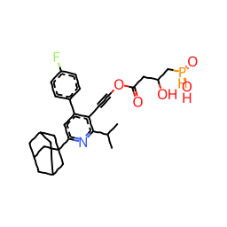 CC(C)c1nc(C23CC4CC(CC(C4)C2)C3)cc(-c2ccc(F)cc2)c1C#COC(=O)CC(O)C[PH](=O)O